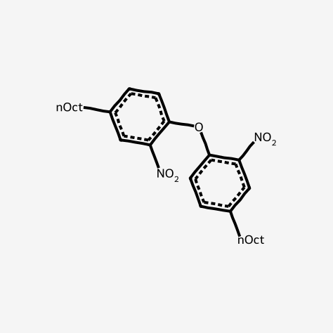 CCCCCCCCc1ccc(Oc2ccc(CCCCCCCC)cc2[N+](=O)[O-])c([N+](=O)[O-])c1